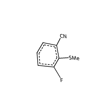 CSc1c(F)cccc1C#N